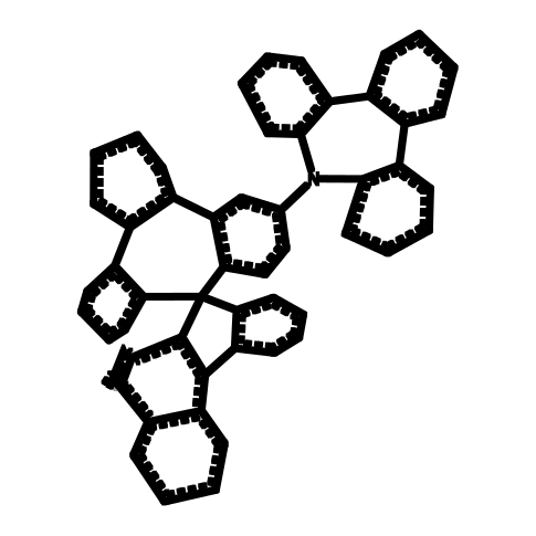 c1ccc2c(c1)-c1ccccc1N(c1ccc3c(c1)-c1ccccc1-c1ccccc1C31c3ccccc3-c3c1c1ccccc1c1ccccc31)c1ccccc1-2